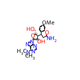 COc1ccc(C(CC(N)=O)C2[C@@H](O)[C@H](n3cnc4c(N(C)C)ncnc43)O[C@@H]2CO)cc1